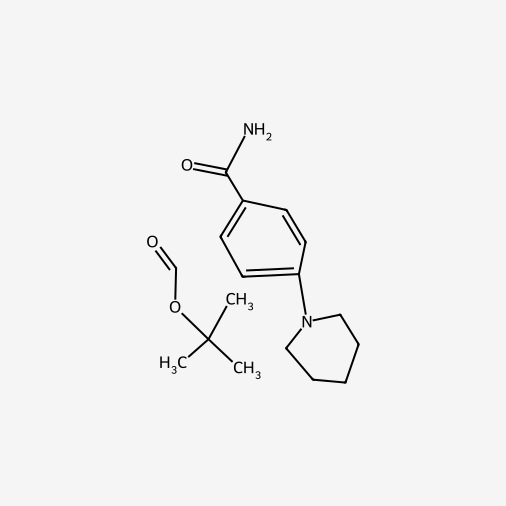 CC(C)(C)OC=O.NC(=O)c1ccc(N2CCCCC2)cc1